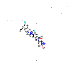 C#Cc1cc(F)ccc1CN1CCN(c2cc3c(cc2F)C(=O)N(C2CCC(=O)NC2=O)C3)CC1